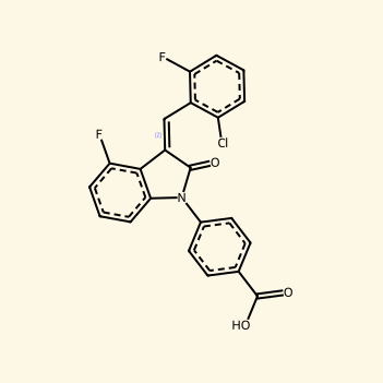 O=C(O)c1ccc(N2C(=O)/C(=C\c3c(F)cccc3Cl)c3c(F)cccc32)cc1